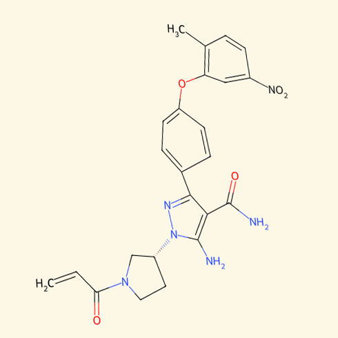 C=CC(=O)N1CC[C@@H](n2nc(-c3ccc(Oc4cc([N+](=O)[O-])ccc4C)cc3)c(C(N)=O)c2N)C1